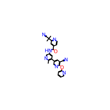 Cc1ncc(NC(=O)c2ccnc(C(C)(C)C#N)c2)cc1-c1cnc(Oc2ccccn2)c(C#N)c1